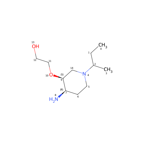 CCC(C)N1CC[C@@H](N)[C@@H](OCCO)C1